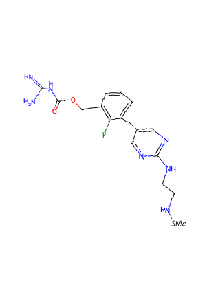 CSNCCNc1ncc(-c2cccc(COC(=O)NC(=N)N)c2F)cn1